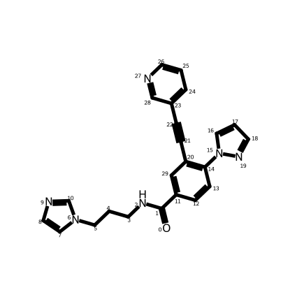 O=C(NCCCn1ccnc1)c1ccc(-n2cccn2)c(C#Cc2cccnc2)c1